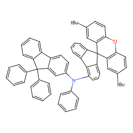 CC(C)(C)c1ccc2c(c1)C1(c3cc(C(C)(C)C)ccc3O2)c2ccccc2-c2c(N(c3ccccc3)c3ccc4c(c3)C(c3ccccc3)(c3ccccc3)c3ccccc3-4)cccc21